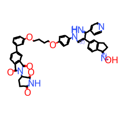 N=C(/C(=C\Nc1ccc(OCCCCOc2cccc(-c3ccc4c(c3)C(=O)N(C3CCC(=O)NC3=O)C4=O)c2)cc1)c1ccc2c(c1)CC/C2=N\O)c1ccncc1